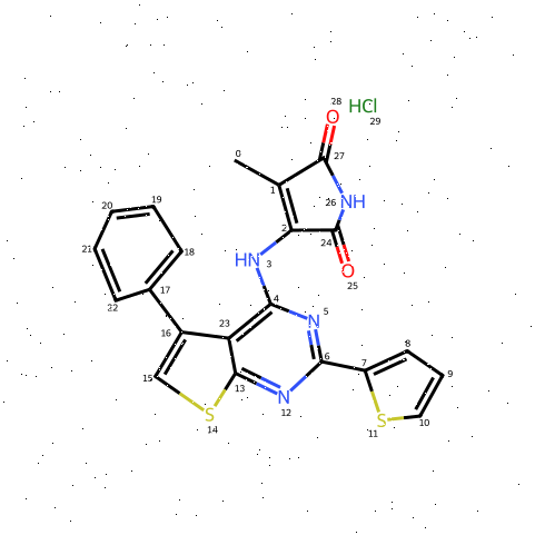 CC1=C(Nc2nc(-c3cccs3)nc3scc(-c4ccccc4)c23)C(=O)NC1=O.Cl